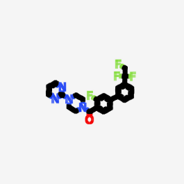 O=C(c1ccc(-c2cccc(C(F)(F)CF)c2)cc1F)N1CCN(c2ncccn2)CC1